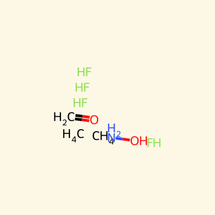 C.C.C=O.F.F.F.F.NO